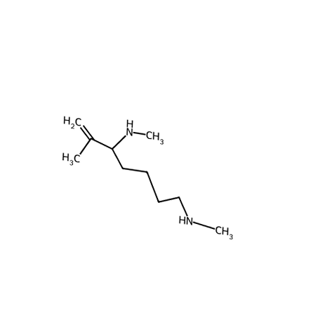 C=C(C)C(CCCCNC)NC